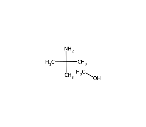 CC(C)(C)N.CO